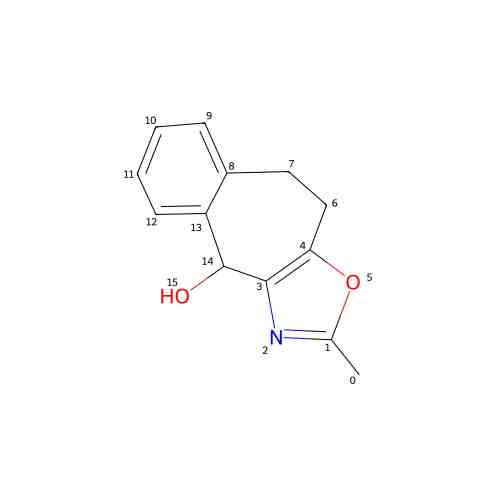 Cc1nc2c(o1)CCc1ccccc1C2O